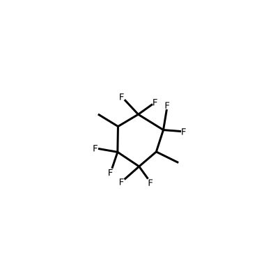 CC1C(F)(F)C(F)(F)C(C)C(F)(F)C1(F)F